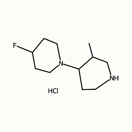 CC1CNCCC1N1CCC(F)CC1.Cl